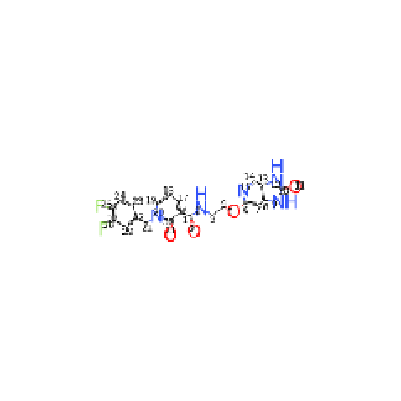 O=C(NCCOc1cc2[nH]c(=O)[nH]c2cn1)c1cccn(Cc2ccc(F)c(F)c2)c1=O